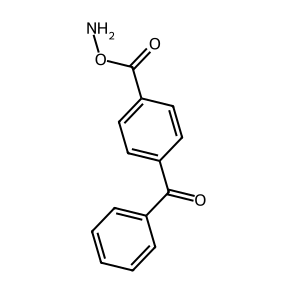 NOC(=O)c1ccc(C(=O)c2ccccc2)cc1